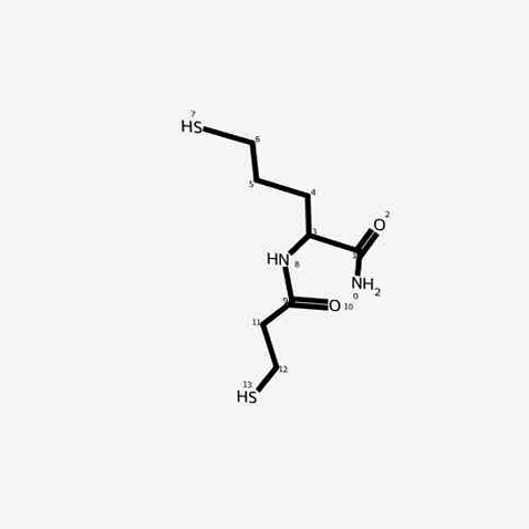 NC(=O)C(CCCS)NC(=O)CCS